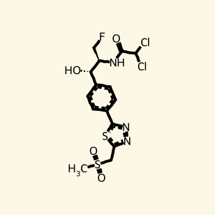 CS(=O)(=O)Cc1nnc(-c2ccc([C@H](O)[C@@H](CF)NC(=O)C(Cl)Cl)cc2)s1